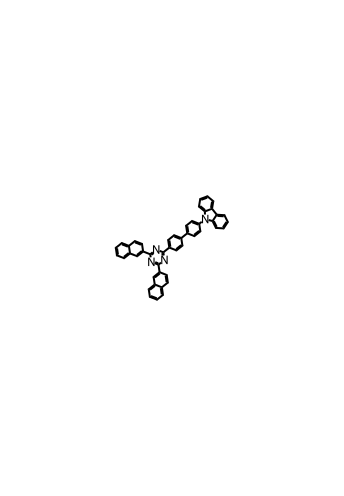 c1ccc2cc(-c3nc(-c4ccc(-c5ccc(-n6c7ccccc7c7ccccc76)cc5)cc4)nc(-c4ccc5ccccc5c4)n3)ccc2c1